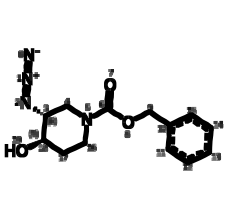 [N-]=[N+]=N[C@@H]1CN(C(=O)OCc2ccccc2)CC[C@H]1O